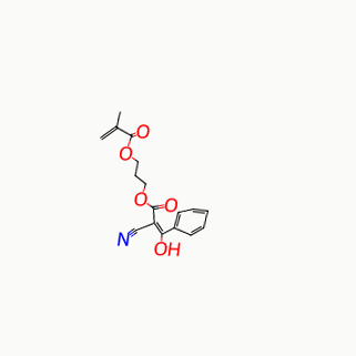 C=C(C)C(=O)OCCCOC(=O)C(C#N)=C(O)c1ccccc1